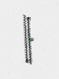 CCCCCCCCCCCCCCCCCCCCCCCCCCCCCCCCCCCCC[P+](C)(C)C.CCCCCCCCCCCCCCCCCCCCCCCCCCCCCCCCCCCC[P+](C)(C)C.[Cl-].[Cl-]